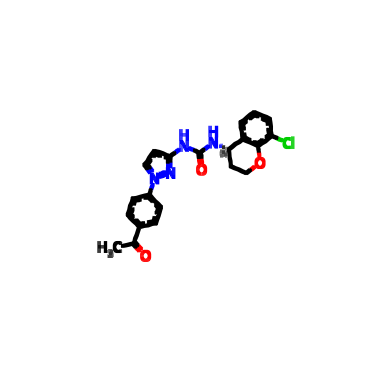 CC(=O)c1ccc(-n2ccc(NC(=O)N[C@H]3CCOc4c(Cl)cccc43)n2)cc1